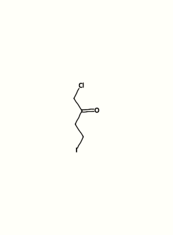 O=C(CCl)CCI